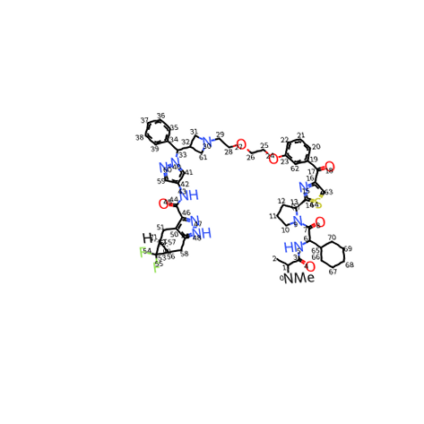 CNC(C)C(=O)NC(C(=O)N1CCC[C@H]1c1nc(C(=O)c2cccc(OCCOCCN3CC(C(c4ccccc4)n4cc(NC(=O)c5n[nH]c6c5C[C@@H]5C(F)(F)[C@]5(C)C6)cn4)C3)c2)cs1)C1CCCCC1